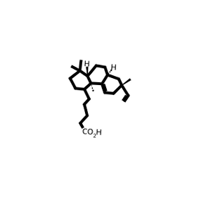 C=C[C@]1(C)CC=C2[C@@H](CC[C@H]3C(C)(C)CCC(CCCCC(=O)O)[C@]23C)C1